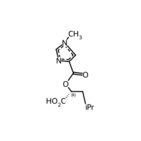 CC(C)C[C@@H](OC(=O)c1cn(C)cn1)C(=O)O